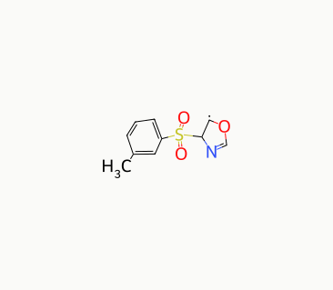 Cc1cccc(S(=O)(=O)C2[CH]OC=N2)c1